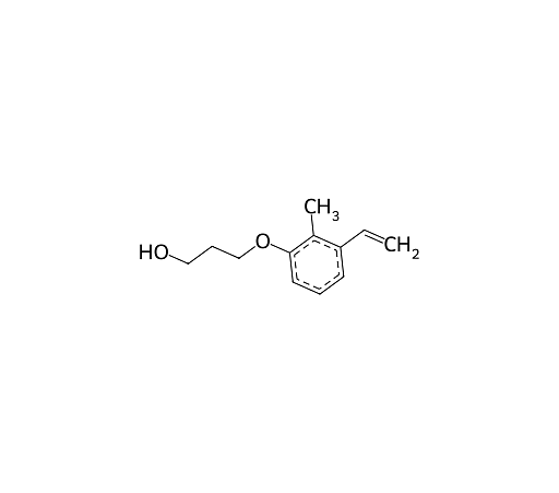 C=Cc1cccc(OCCCO)c1C